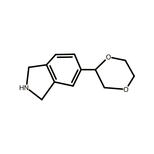 c1cc2c(cc1C1COCCO1)CNC2